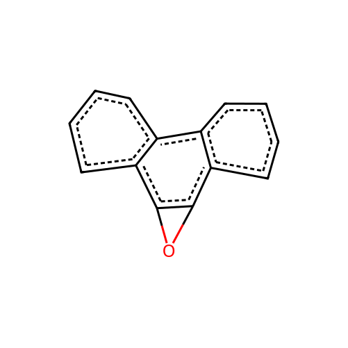 c1ccc2c(c1)c1c(c3ccccc32)O1